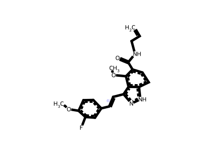 C=CCNC(=O)c1ccc2[nH]nc(/C=C/c3ccc(OC)c(F)c3)c2c1OC